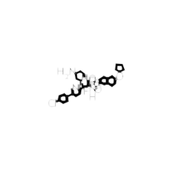 NC1CCN(C(=O)[C@H](NS(=O)(=O)c2ccc3cc(OC4CCCC4)ccc3c2)C(F)(F)c2ccc(-c3ccc(Cl)cc3)cn2)CC1